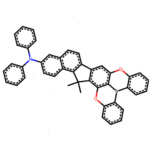 CC1(C)c2c(cc3c4c2Oc2ccccc2B4c2ccccc2O3)-c2ccc3cc(N(c4ccccc4)c4ccccc4)ccc3c21